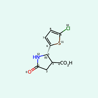 O=C1CC(C(=O)O)[C@@H](c2ccc(Cl)s2)N1